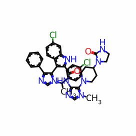 CC(c1ccc(Cl)cc1)n1cnc(-c2ccccc2)c1-c1c(C(=O)Nc2ncn(C)c2N2CCC(N3CCNC3=O)CC2)[nH]c2cc(Cl)ccc12